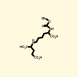 CC(C)(C)OC(=O)NC(CCCCNC(CCC(=O)O)C(=O)O)C(=O)O